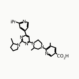 Cc1cc(C(=O)O)cnc1N1CCN(c2cc(-c3ccnc(C(C)C)c3)nc(N3CCCC3C)n2)C(C)C1